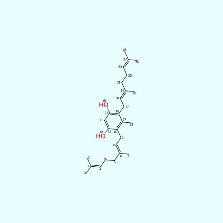 CC(C)=CCC/C(C)=C/Cc1c(O)cc(O)c(C/C=C(\C)CCC=C(C)C)c1C